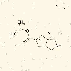 CC(C)OC(=O)C1CC2CNCC2C1